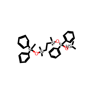 C[SiH](C)O[Si](O[Si](C)(C)CC[Si](C)(C)O[Si](C)(c1ccccc1)c1ccccc1)(c1ccccc1)c1ccccc1